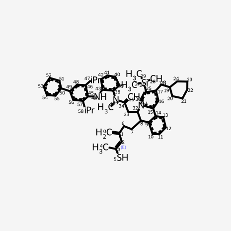 C=C(/C=C(\C)S)CCC1c2ccccc2-c2cc(CC3CCCCC3)c([Si](C)(C)C)c[n+]2C1CC(=C)N(C)c1ccccc1Nc1c(C(C)C)cc(-c2ccccc2)cc1C(C)C